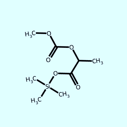 COC(=O)OC(C)C(=O)O[Si](C)(C)C